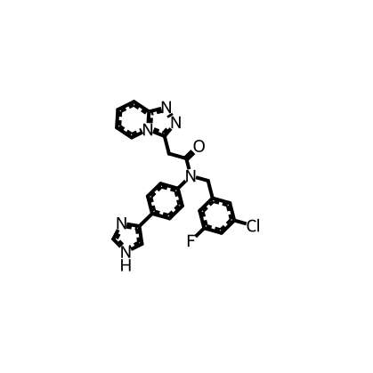 O=C(Cc1nnc2ccccn12)N(Cc1cc(F)cc(Cl)c1)c1ccc(-c2c[nH]cn2)cc1